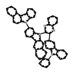 c1ccc(-n2c3ccccc3c3cc(-c4nc5ccccc5nc4-n4c5cc(-n6c7ccccc7c7c8ccccc8ccc76)ccc5c5cc6ccccc6cc54)ccc32)cc1